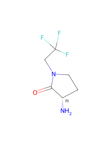 N[C@H]1CCN(CC(F)(F)F)C1=O